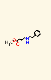 COC(=O)/C=C/CNCCc1ccccc1